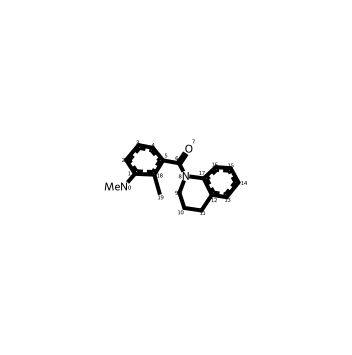 CNc1cccc(C(=O)N2CCCc3ccccc32)c1C